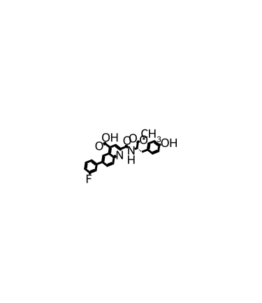 COC(=O)[C@H](Cc1ccc(O)cc1)NC(=O)c1cc(C(=O)O)c2cc(-c3cccc(F)c3)ccc2n1